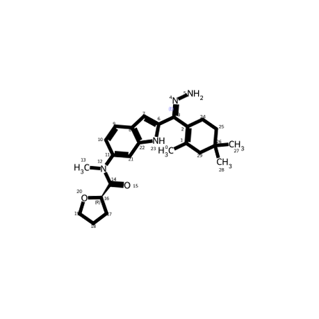 CC1=C(/C(=N\N)c2cc3ccc(N(C)C(=O)[C@H]4CCCO4)cc3[nH]2)CCC(C)(C)C1